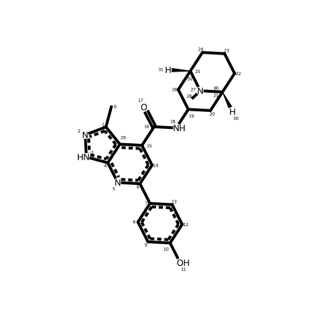 Cc1n[nH]c2nc(-c3ccc(O)cc3)cc(C(=O)NC3C[C@H]4CCC[C@@H](C3)N4C)c12